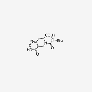 CC(C)(C)OC(=O)N1Cc2c(nc[nH]c2=O)CC1C(=O)O